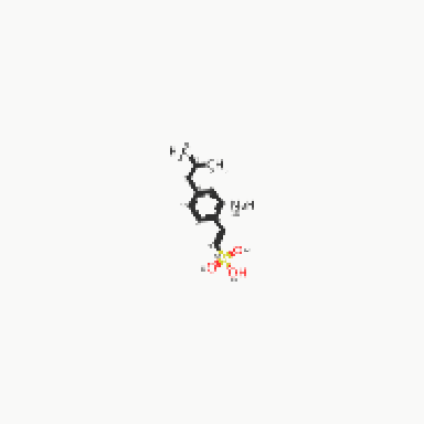 CC(C)Cc1ccc(/C=C/S(=O)(=O)O)cc1.[NaH]